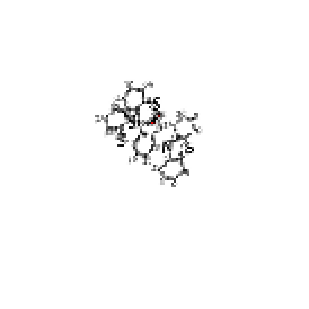 c1ccc2c(c1)Sc1ccccc1N2c1ccc2c(c1)[Si]1(c3ccccc3Sc3ccccc31)c1ccccc1S2